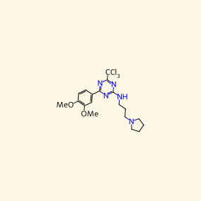 COc1ccc(-c2nc(NCCCN3CCCC3)nc(C(Cl)(Cl)Cl)n2)cc1OC